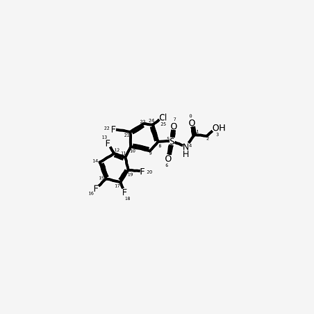 O=C(CO)NS(=O)(=O)c1cc(-c2c(F)cc(F)c(F)c2F)c(F)cc1Cl